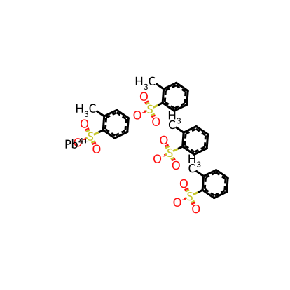 Cc1ccccc1S(=O)(=O)[O-].Cc1ccccc1S(=O)(=O)[O-].Cc1ccccc1S(=O)(=O)[O-].Cc1ccccc1S(=O)(=O)[O-].[Pb+4]